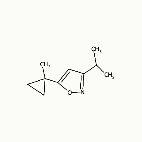 CC(C)c1cc(C2(C)CC2)on1